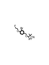 CC(C)C(OCc1ccc(OCCF)c(Br)c1)C(C)(C)C#N